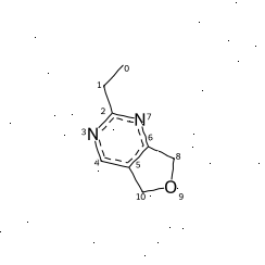 CCc1ncc2c(n1)COC2